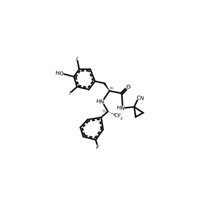 N#CC1(NC(=O)[C@H](Cc2cc(I)c(O)c(I)c2)N[C@@H](c2cccc(F)c2)C(F)(F)F)CC1